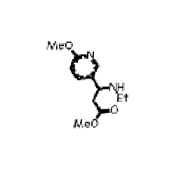 CCNC(CC(=O)OC)c1ccc(OC)nc1